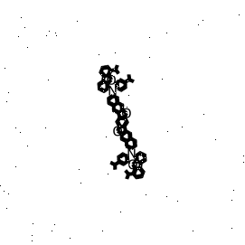 CC(C)c1ccc(N(c2ccc3cc4c(cc3c2)oc2cc3c(cc24)oc2cc4cc(N(c5ccc(C(C)C)cc5)c5cccc6c5oc5c(C(C)C)cccc56)ccc4cc23)c2cccc3c2oc2c(C(C)C)cccc23)cc1